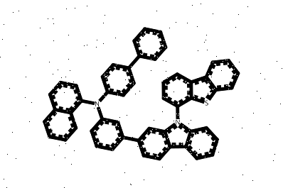 c1ccc(-c2ccc(N(c3cccc(-c4ccc5c6ccccc6n(-c6cccc7c6sc6ccccc67)c5c4)c3)c3cccc4ccccc34)cc2)cc1